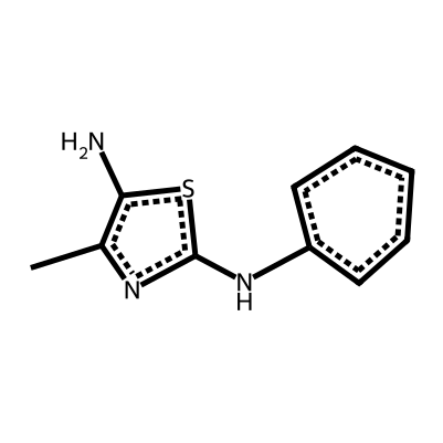 Cc1nc(Nc2ccccc2)sc1N